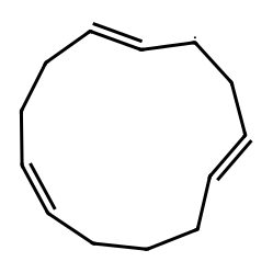 [CH]1/C=C/CC/C=C\CCC/C=C/C1